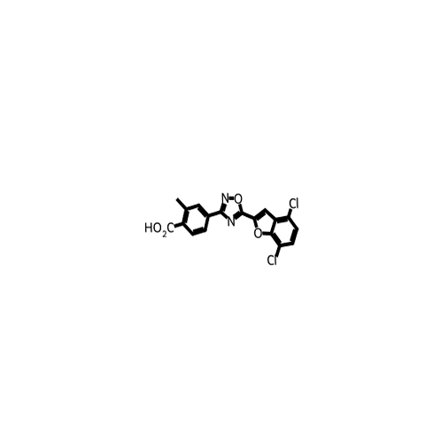 Cc1cc(-c2noc(-c3cc4c(Cl)ccc(Cl)c4o3)n2)ccc1C(=O)O